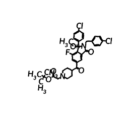 CO[C@]1(c2ccc(Cl)cc2)c2c(F)cc(C(=O)C3CCN(CC(=O)OC(C)(C)C)CC3)cc2C(=O)N1Cc1ccc(Cl)cc1